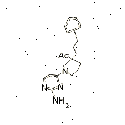 CC(=O)C1(CCCc2ccccc2)CCCN(c2ccnc(N)n2)C1